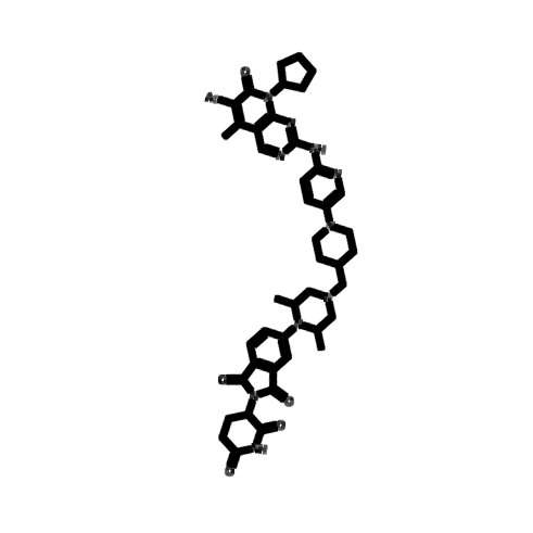 CC(=O)c1c(C)c2cnc(Nc3ccc(N4CCC(CN5CC(C)N(c6ccc7c(c6)C(=O)N(C6CCC(=O)NC6=O)C7=O)C(C)C5)CC4)cn3)nc2n(C2CCCC2)c1=O